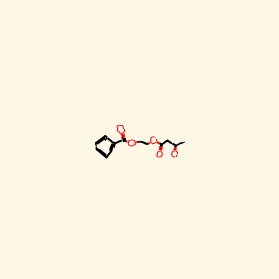 CC(=O)CC(=O)OCCOC(=O)c1ccccc1